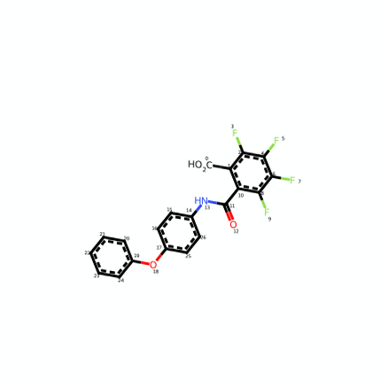 O=C(O)c1c(F)c(F)c(F)c(F)c1C(=O)Nc1ccc(Oc2ccccc2)cc1